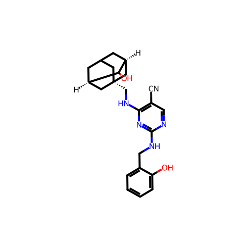 N#Cc1cnc(NCc2ccccc2O)nc1NC[C@@]12CC3C[C@H](C1)C(O)[C@@H](C3)C2